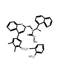 Cc1cc(C2=C[C@H](CN(C(=O)OC(C)(C)C)[C@H](C)c3cccc4ccccc34)Oc3ccccc32)cc(C(=O)O)c1C.Cc1ccccc1C(=O)O